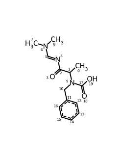 CC(C(=O)N=CN(C)C)N(Cc1ccccc1)C(=O)O